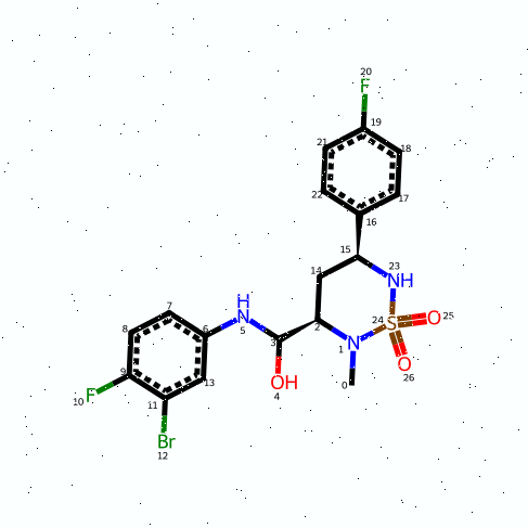 CN1[C@@H](C(O)Nc2ccc(F)c(Br)c2)C[C@@H](c2ccc(F)cc2)NS1(=O)=O